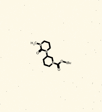 CN1CCCN(C2CCCN(C(=O)OC(C)(C)C)C2)C1=O